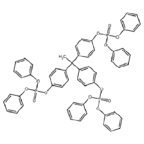 CC(c1ccc(OP(=O)(Oc2ccccc2)Oc2ccccc2)cc1)(c1ccc(OP(=O)(Oc2ccccc2)Oc2ccccc2)cc1)c1ccc(OP(=O)(Oc2ccccc2)Oc2ccccc2)cc1